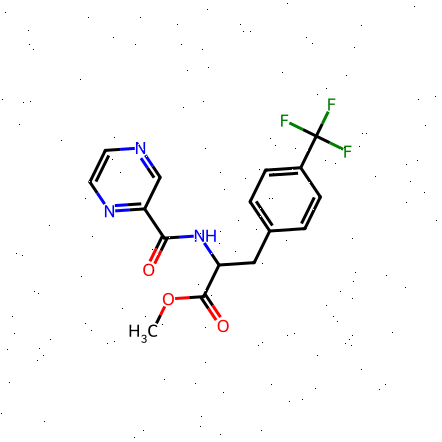 COC(=O)C(Cc1ccc(C(F)(F)F)cc1)NC(=O)c1cnccn1